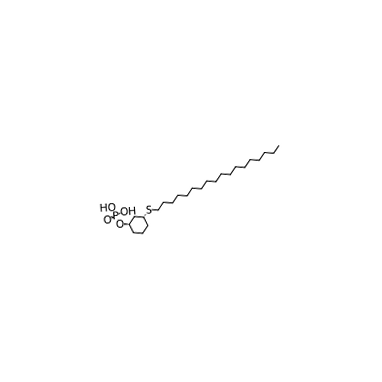 CCCCCCCCCCCCCCCCCCS[C@@H]1CCC[C@@H](OP(=O)(O)O)C1